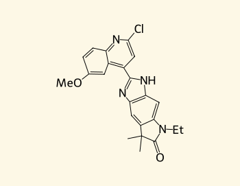 CCN1C(=O)C(C)(C)c2cc3nc(-c4cc(Cl)nc5ccc(OC)cc45)[nH]c3cc21